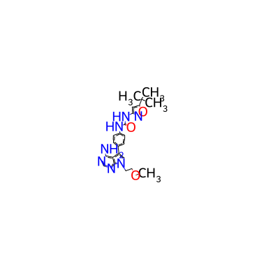 COCCn1cc(-c2ccc(NC(=O)Nc3cc(C(C)(C)C)on3)cc2)c2c(N)ncnc21